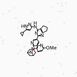 COc1ccc(CN2C3CC2CN(c2ccc(-c4nc5c(c(Nc6cc(C7CC7)[nH]n6)n4)CCC5)cn2)C3)cn1